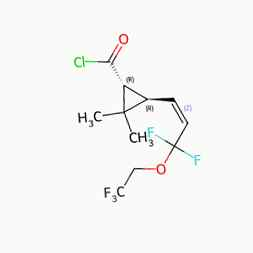 CC1(C)[C@H](/C=C\C(F)(F)OCC(F)(F)F)[C@H]1C(=O)Cl